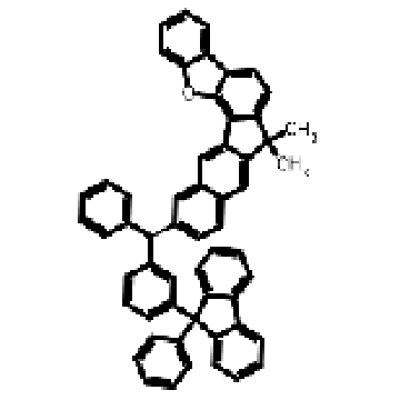 CC1(C)c2cc3ccc([C@H](c4ccccc4)c4cccc(C5(c6ccccc6)c6ccccc6-c6ccccc65)c4)cc3cc2-c2c1ccc1c2oc2ccccc21